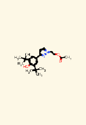 CC(=O)OCCn1ccc(-c2cc(C(C)(C)C)c(O)c(C(C)(C)C)c2)n1